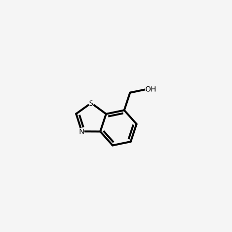 OCc1cccc2ncsc12